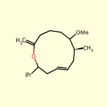 C=C1CCCC(OC)[C@@H](C)C/C=C/CC(C(C)C)O1